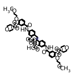 COCCOc1ccc(C(=O)Nc2ccc(/C=C/c3ccc(NC(=O)c4ccc(OCCOC)c(S(=O)(=O)N5CCOCC5)c4)cc3S(=O)(=O)O)c(S(=O)(=O)O)c2)cc1S(=O)(=O)N1CCOCC1